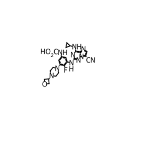 N#Cc1cnc2c(NC3CC3)nc(Nc3cc(NC(=O)O)cc(N4CCN(C5COC5)CC4)c3F)nn12